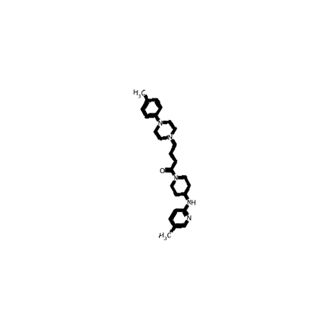 Cc1ccc(N2CCN(CCCC(=O)N3CCC(Nc4ccc(C)cn4)CC3)CC2)cc1